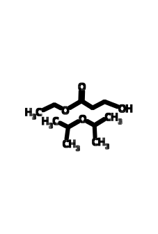 CC(C)OC(C)C.CCOC(=O)CCO